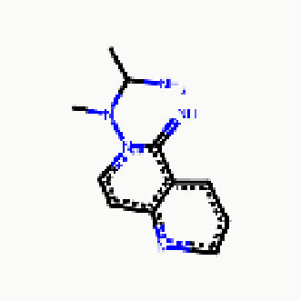 CC(N)N(C)n1ccc2ncccc2c1=N